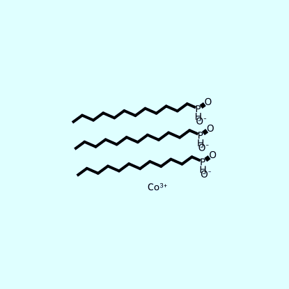 CCCCCCCCCCCC[PH](=O)[O-].CCCCCCCCCCCC[PH](=O)[O-].CCCCCCCCCCCC[PH](=O)[O-].[Co+3]